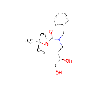 CC(C)(C)OC(=O)N(CCC(O)CO)Cc1ccccc1